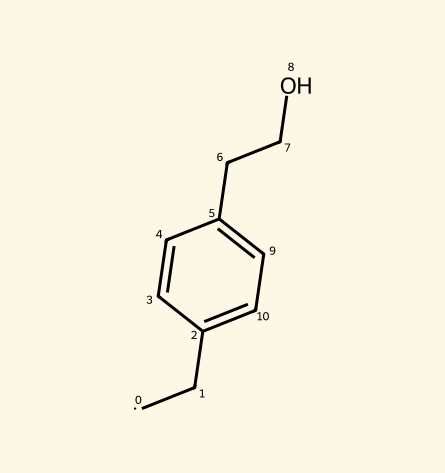 [CH2]Cc1ccc(CCO)cc1